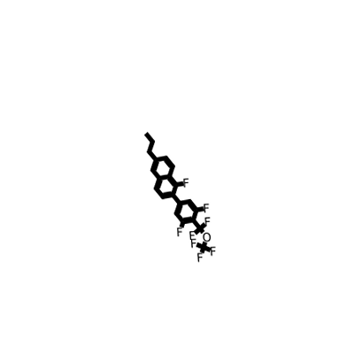 CCCc1ccc2c(F)c(-c3cc(F)c(C(F)(F)OC(F)(F)F)c(F)c3)ccc2c1